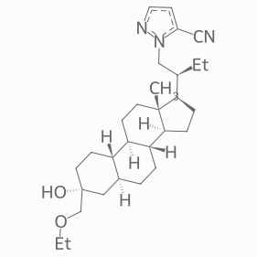 CCOC[C@@]1(O)CC[C@H]2[C@@H](CC[C@@H]3[C@@H]2CC[C@]2(C)[C@@H]([C@H](CC)Cn4nccc4C#N)CC[C@@H]32)C1